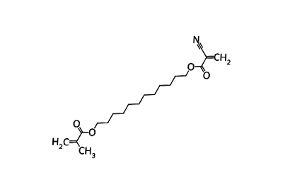 C=C(C)C(=O)OCCCCCCCCCCCCOC(=O)C(=C)C#N